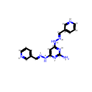 Nc1nc(NN=Cc2cccnc2)cc(NN=Cc2cccnc2)n1